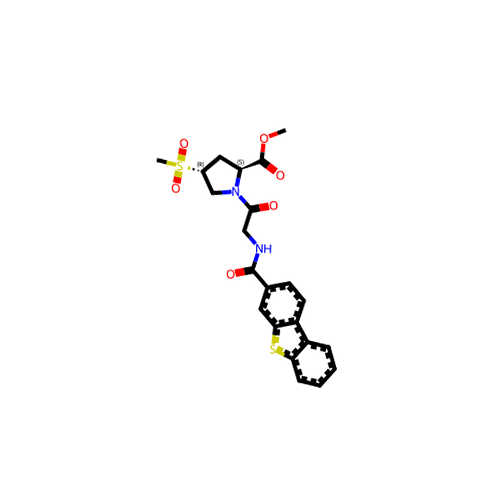 COC(=O)[C@@H]1C[C@@H](S(C)(=O)=O)CN1C(=O)CNC(=O)c1ccc2c(c1)sc1ccccc12